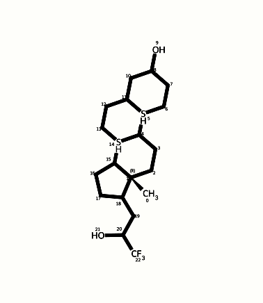 C[C@]12CCC3[SH]4CCC(O)CC4CC[SH]3C1CCC2CC(O)C(F)(F)F